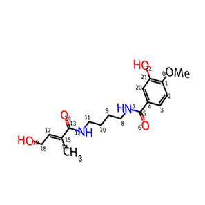 COc1ccc(C(=O)NCCCCNC(=O)/C(C)=C/CO)cc1O